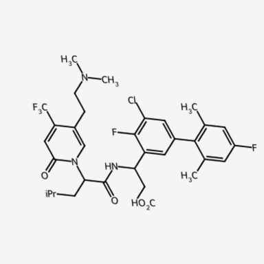 Cc1cc(F)cc(C)c1-c1cc(Cl)c(F)c(C(CC(=O)O)NC(=O)C(CC(C)C)n2cc(CCN(C)C)c(C(F)(F)F)cc2=O)c1